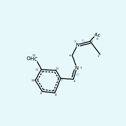 CC(=O)/C(C)=N/C/N=C\c1cccc(C=O)c1